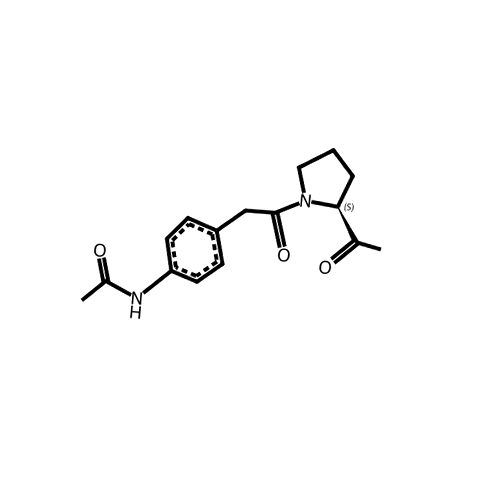 CC(=O)Nc1ccc(CC(=O)N2CCC[C@H]2C(C)=O)cc1